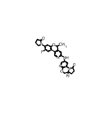 CC1Oc2cc(N3CCCC3=O)c(F)cc2-c2cnc(Nc3cnc4c(c3)N3C(=O)CC[C@@H]3CO4)cc21